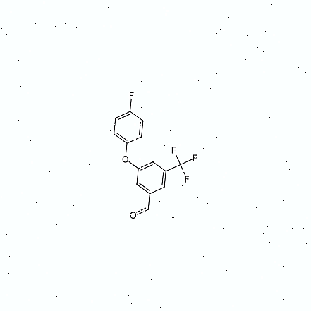 O=Cc1cc(Oc2ccc(F)cc2)cc(C(F)(F)F)c1